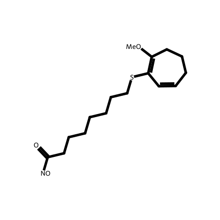 COC1=C(SCCCCCCCC(=O)N=O)C=CCCC1